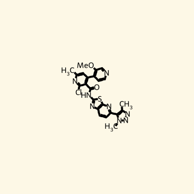 COc1cnccc1-c1cc(C)nc(Cl)c1C(=O)Nc1nc2ccc(-c3c(C)nnn3C)nc2s1